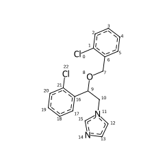 Clc1ccccc1COC(Cn1ccnc1)c1ccccc1Cl